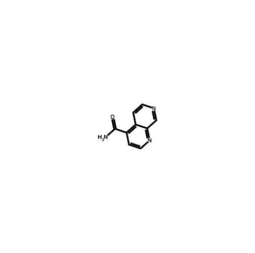 NC(=O)c1ccnc2cnccc12